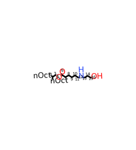 CCCCCCCCC(CCCCCCCC)COC(=O)CCCCCNCCCO